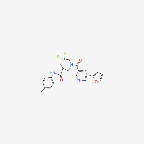 Cc1ccc(NC(=O)C2CN(C(=O)c3cncc(-c4ccco4)c3)CC(F)(F)C2)cc1